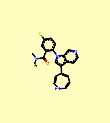 CC(C)N(C)C(=O)c1cc(F)ccc1-n1cc(C2=CC=CNC=C2)c2ccncc21